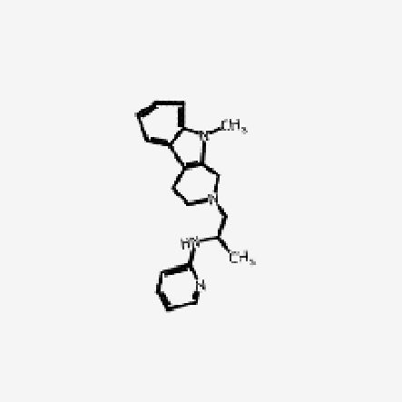 CC(CN1CCc2c(n(C)c3ccccc23)C1)Nc1ccccn1